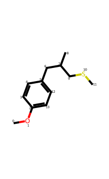 COc1ccc(CC(C)CSC)cc1